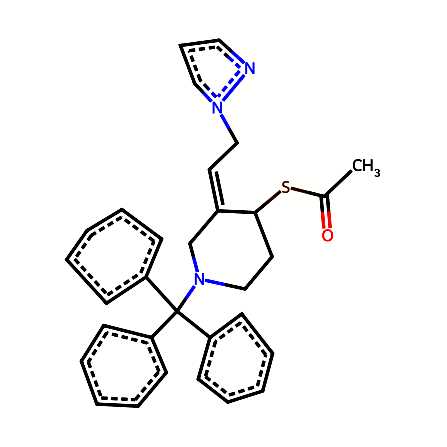 CC(=O)SC1CCN(C(c2ccccc2)(c2ccccc2)c2ccccc2)CC1=CCn1cccn1